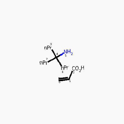 C=CC(=O)O.CCCC(N)(CCC)CCC